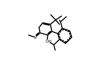 CN=C1CC=C(C(C)(C)C)C(c2c(C(C)C)cccc2C(C)C)=C1O